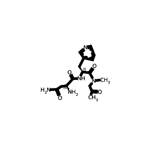 CC(=O)CN(C)C(=O)[C@H](Cc1cccnc1)NC(=O)[C@@H](N)CC(N)=O